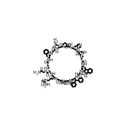 CCCC[C@H]1C(=O)N(C)[C@@H](CCCC)C(=O)N[C@@H](CCCNC(=N)N)C(=O)N[C@H](C(=O)NCC(N)=O)CSCC(=O)N[C@@H](Cc2ccccc2)C(=O)N(C)[C@@H](C)C(=O)N[C@@H](CC(N)=O)C(=O)N2CCC[C@H]2C(=O)N[C@@H](Cc2cnc[nH]2)C(=O)N[C@@H](CC(C)C)C(=O)N(C)CC(=O)N[C@@H](Cc2c[nH]c3ccccc23)C(=O)N[C@@H](CO)C(=O)NC(C(c2ccccc2)c2ccccc2)C(=O)N1C